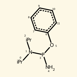 CC(C)N(C(C)C)P(N)Oc1ccccc1